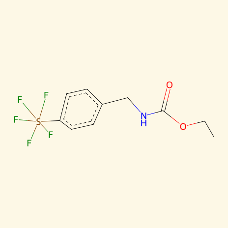 CCOC(=O)NCc1ccc(S(F)(F)(F)(F)F)cc1